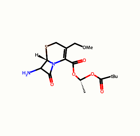 COCC1=C(C(=O)O[C@@H](C)OC(=O)C(C)(C)C)N2C(=O)C(N)[C@@H]2SC1